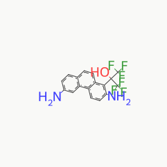 Nc1ccc2ccc3c(C(O)(C(F)(F)F)C(F)(F)F)c(N)ccc3c2c1